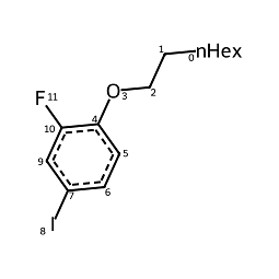 CCCCCCCCOc1ccc(I)cc1F